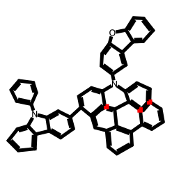 c1ccc(-c2cccc3cccc(-c4ccccc4N(c4ccc(-c5ccc6c7ccccc7n(-c7ccccc7)c6c5)cc4)c4ccc5oc6ccccc6c5c4)c23)cc1